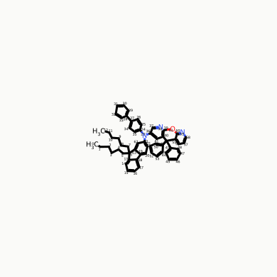 CCCCCCC1(CCCCCC)c2ccccc2-c2ccc(N(c3ccc(-c4ccccc4)cc3)c3cnc4c(c3)C(c3ccccc3)(c3ccccc3)c3cccnc3O4)cc21